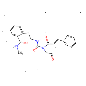 CNC(=O)c1ccccc1CCNC(=O)N(C[C]=O)C(=O)/C=C/c1ccccc1